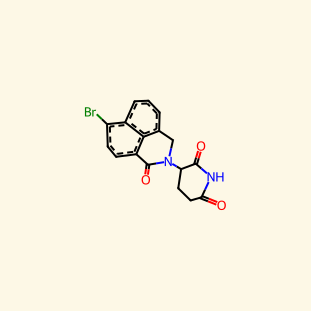 O=C1CCC(N2Cc3cccc4c(Br)ccc(c34)C2=O)C(=O)N1